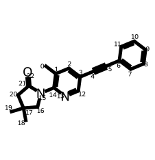 Cc1cc(C#Cc2ccccc2)cnc1N1CC(C)(C)CC1=O